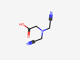 N#CCN(CC#N)CC(=O)O